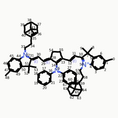 Cc1ccc2c(c1)C(C)(C)C(/C=C/C1=C(N(c3ccccc3)c3ccccc3)C(=C/C=C3/N(CCC4=CCC5CC4C5(C)C)c4ccc(C)cc4C3(C)C)/CC1)=[N+]2CCC1=CCC2CC1C2(C)C